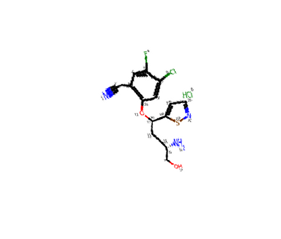 Cl.N#Cc1cc(F)c(Cl)cc1O[C@H](C[C@H](N)CO)c1ccns1